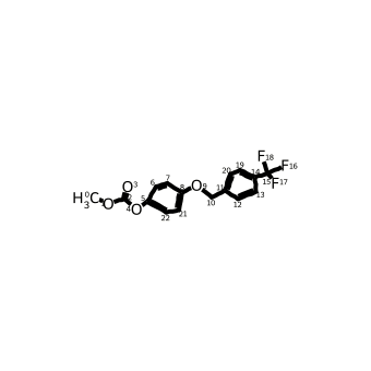 COC(=O)Oc1ccc(OCc2ccc(C(F)(F)F)cc2)cc1